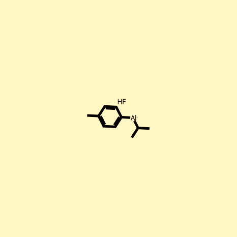 Cc1cc[c]([Al][CH](C)C)cc1.F